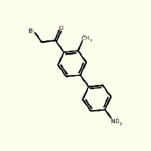 Cc1cc(-c2ccc([N+](=O)[O-])cc2)ccc1C(=O)CBr